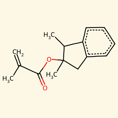 C=C(C)C(=O)OC1(C)Cc2ccccc2C1C